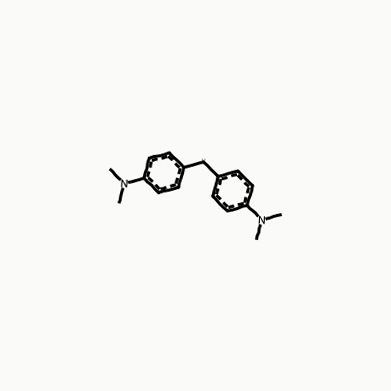 CN(C)c1ccc([C]c2ccc(N(C)C)cc2)cc1